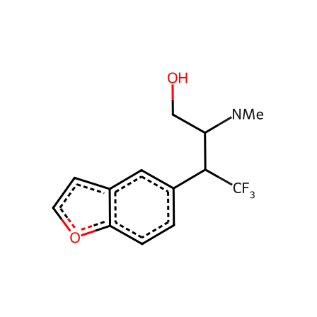 CNC(CO)C(c1ccc2occc2c1)C(F)(F)F